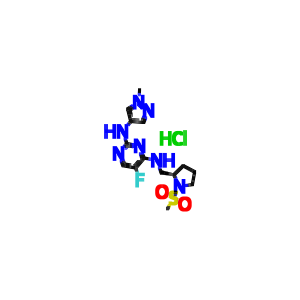 Cl.Cn1cc(Nc2ncc(F)c(NC[C@H]3CCCN3S(C)(=O)=O)n2)cn1